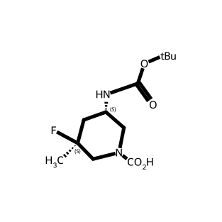 CC(C)(C)OC(=O)N[C@@H]1CN(C(=O)O)C[C@@](C)(F)C1